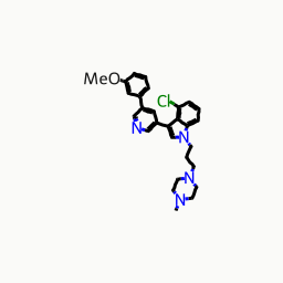 COc1cccc(-c2cncc(-c3cn(CCCN4CCN(C)CC4)c4cccc(Cl)c34)c2)c1